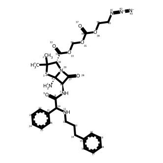 CC1(C)S[C@]2(N)[C@H](NC(=O)C(NCCCc3ccccc3)c3ccccc3)C(=O)N2[C@H]1C(=O)OCOC(=O)OCCN=[N+]=[N-]